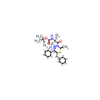 C=C(NC(=O)C(C)(C)NC(=O)OC(C)(C)C)S/C(Cc1ccccc1)=C(\N)c1ccccc1